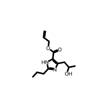 C=CCOC(=O)c1[nH]c(CCC)nc1CC(C)O